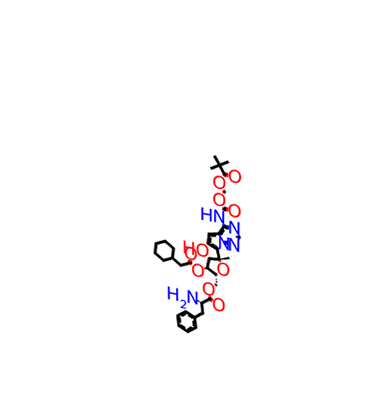 CC(C)(C)C(=O)OCOC(=O)Nc1ncnn2c([C@]3(C)O[C@H](COC(=O)[C@@H](N)Cc4ccccc4)[C@@H](OC(=O)CC4CCCCC4)[C@H]3O)ccc12